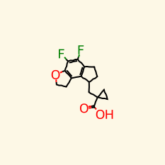 O=C(O)C1(CC2CCc3c(F)c(F)c4c(c32)CCO4)CC1